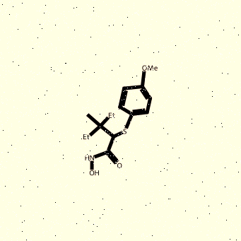 CCC(C)(CC)C(Sc1ccc(OC)cc1)C(=O)NO